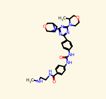 CNCCNC(=O)c1ccc(NC(=O)Nc2ccc(-c3nc(N4CCOCC4C)nc(N4C5CCC4COC5)n3)cc2)cc1